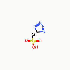 C1N=NN=N1.CS(=O)(=O)O